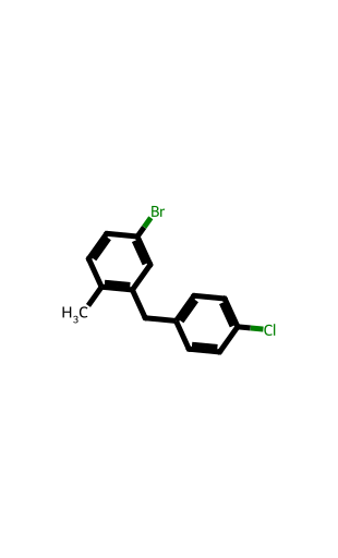 Cc1ccc(Br)cc1Cc1ccc(Cl)cc1